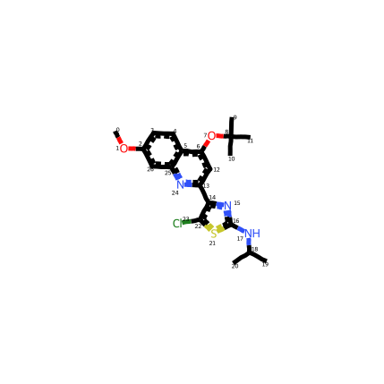 COc1ccc2c(OC(C)(C)C)cc(-c3nc(NC(C)C)sc3Cl)nc2c1